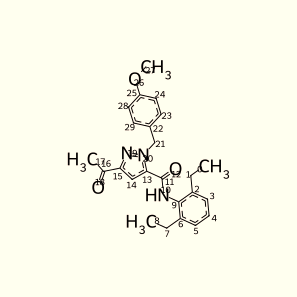 CCc1cccc(CC)c1NC(=O)c1cc(C(C)=O)nn1Cc1ccc(OC)cc1